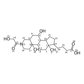 CC12CCC3C(C(O)CC4CN(C(=O)CO)CCC43C)C1CCC2CCCC(=O)O